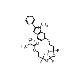 CC(C)C(=O)OCCC(F)(F)OC(F)(F)OC(F)(F)CCOc1ccc2cc(-c3ccccc3)n(C)c2c1